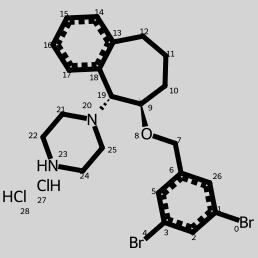 Brc1cc(Br)cc(CO[C@@H]2CCCc3ccccc3[C@H]2N2CCNCC2)c1.Cl.Cl